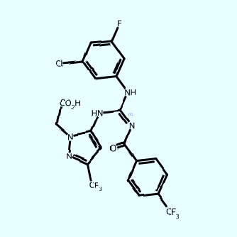 O=C(O)Cn1nc(C(F)(F)F)cc1N/C(=N\C(=O)c1ccc(C(F)(F)F)cc1)Nc1cc(F)cc(Cl)c1